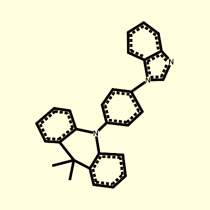 CC1(C)c2ccccc2N(c2ccc(-n3cnc4ccccc43)cc2)c2ccccc21